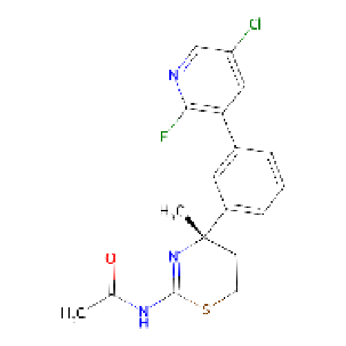 CC(=O)NC1=N[C@](C)(c2cccc(-c3cc(Cl)cnc3F)c2)CCS1